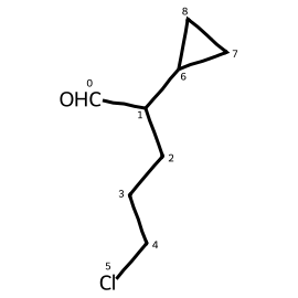 O=CC(CCCCl)C1CC1